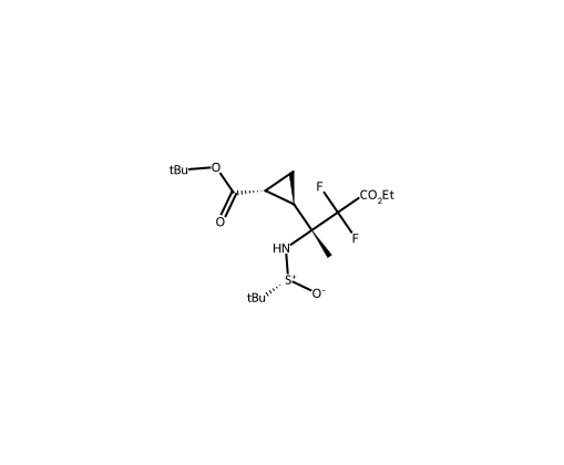 CCOC(=O)C(F)(F)[C@](C)(N[S@+]([O-])C(C)(C)C)[C@@H]1C[C@H]1C(=O)OC(C)(C)C